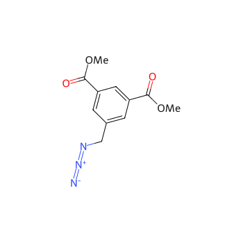 COC(=O)c1cc(CN=[N+]=[N-])cc(C(=O)OC)c1